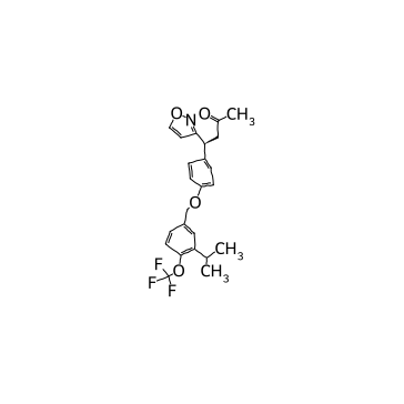 CC(=O)C[C@@H](c1ccc(OCc2ccc(OC(F)(F)F)c(C(C)C)c2)cc1)c1ccon1